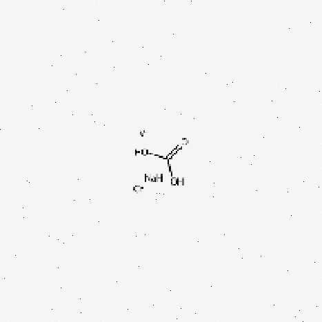 O=C(O)O.[Cr].[NaH].[V]